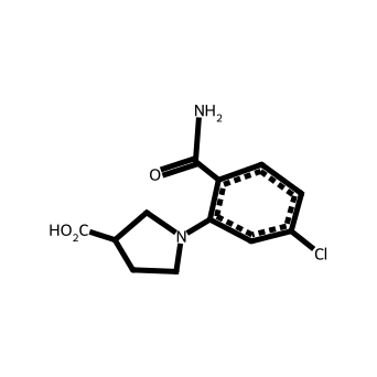 NC(=O)c1ccc(Cl)cc1N1CCC(C(=O)O)C1